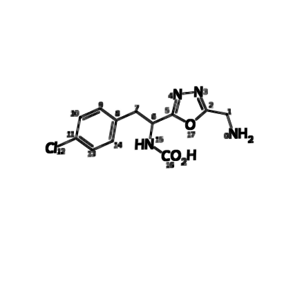 NCc1nnc(C(Cc2ccc(Cl)cc2)NC(=O)O)o1